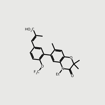 CCN1C(=O)C(C)(C)Oc2cc(C)c(-c3cc(C=C(C)C(=O)O)ccc3OC(F)(F)F)cc21